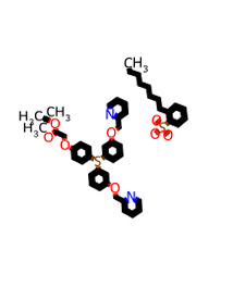 CC(C)(C)OC(=O)COc1ccc([S+](c2cccc(OCc3ccccn3)c2)c2cccc(OCc3ccccn3)c2)cc1.CCCCCCCCc1ccccc1S(=O)(=O)[O-]